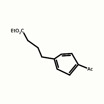 CCOC(=O)CCCc1ccc(C(C)=O)cc1